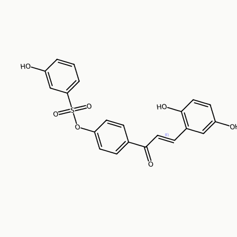 O=C(/C=C/c1cc(O)ccc1O)c1ccc(OS(=O)(=O)c2cccc(O)c2)cc1